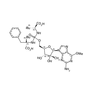 CC[C@@H](C)[C@H](NP(=O)(N[C@](Cc1ccccc1)(C(=O)O)[C@H](C)CC)OC[C@H]1O[C@@H](n2cnc3c(OC)nc(N)nc32)[C@](C)(O)[C@@H]1O)C(=O)O